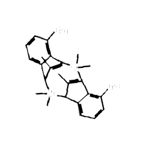 CC1=C2c3c(cccc3C(C)(C)C)[CH]1[Zr]([CH3])([CH3])[CH]1C(C)=C(c3c1cccc3C(C)(C)C)[Si]2(C)C